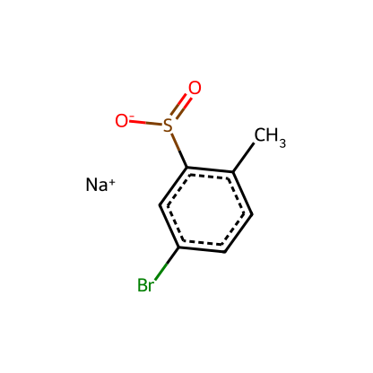 Cc1ccc(Br)cc1S(=O)[O-].[Na+]